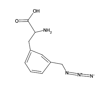 [N-]=[N+]=NCc1cccc(CC(N)C(=O)O)c1